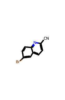 N#Cc1ccc2cc(Br)[c]cc2n1